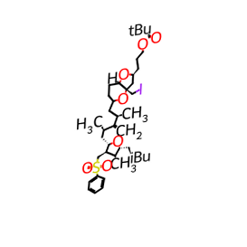 C=C([C@H](C)CC1CC[C@@H]2O[C@@H](CCCOC(=O)C(C)(C)C)C[C@]2(CI)O1)[C@H](C)C[C@@H]1O[C@H](C[C@H](C)CC)[C@H](C)[C@H]1CS(=O)(=O)c1ccccc1